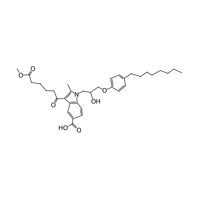 CCCCCCCCc1ccc(OCC(O)Cn2c(C)c(C(=O)CCCCC(=O)OC)c3cc(C(=O)O)ccc32)cc1